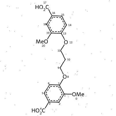 COc1cc(C(=O)O)ccc1OCCCOc1ccc(C(=O)O)cc1OC